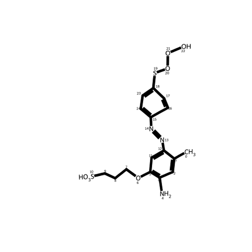 Cc1cc(N)c(OCCCS(=O)(=O)O)cc1N=Nc1ccc(SOOO)cc1